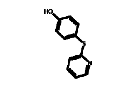 Oc1ccc(Sc2ccccn2)cc1